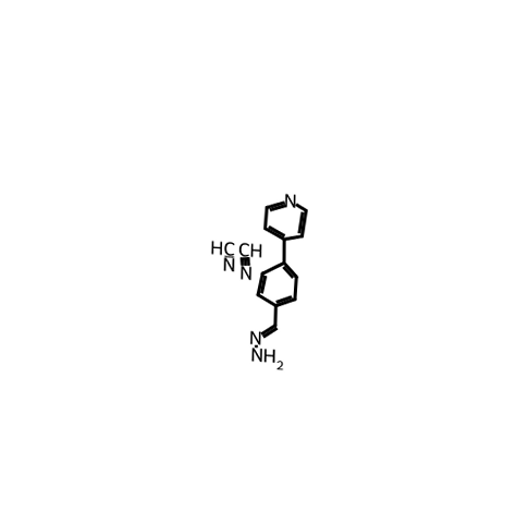 C#N.C#N.NN=Cc1ccc(-c2ccncc2)cc1